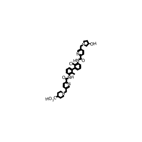 Cc1c(NC(=O)c2ccc(CN3CCC(C(=O)O)CC3)cn2)cccc1-c1cccc(NC(=O)c2ccc(CN3CC[C@@H](O)C3)cn2)c1Cl